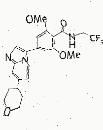 COc1cc(-c2cnc3cc(C4CCOCC4)ccn23)cc(OC)c1C(=O)NCC(F)(F)F